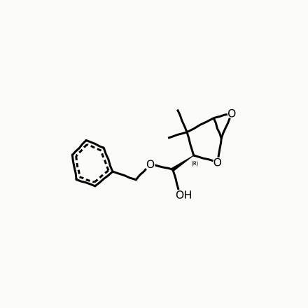 CC1(C)C2OC2O[C@H]1C(O)OCc1ccccc1